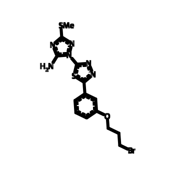 CSc1nc(N)n(-c2nnc(-c3cccc(OCCCBr)c3)s2)n1